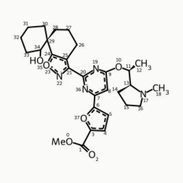 COC(=O)c1ccc(-c2cc(O[C@@H](C)[C@@H]3CCCN3C)nc(-c3noc4c3CCC[C@@]43CCCCC3O)n2)o1